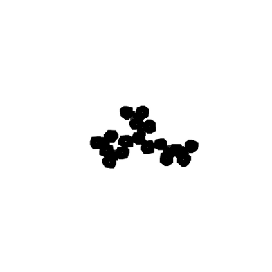 c1ccc(-n2c3ccccc3c3cc4c5ccccc5n(-c5cccc(-c6cccc(-c7cc(-c8cccc(-c9cccc(-n%10c%11ccccc%11c%11c%12c%13ccccc%13n(-c%13ccccc%13)c%12ccc%11%10)c9)c8)cc(-n8c9ccccc9c9c%10c%11ccccc%11n(-c%11ccccc%11)c%10ccc98)c7)c6)c5)c4cc32)cc1